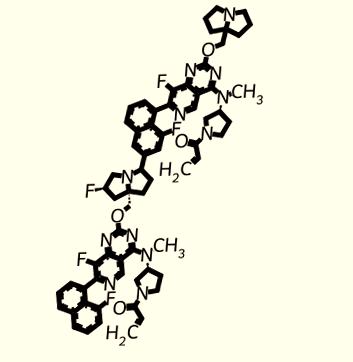 C=CC(=O)N1CC[C@@H](N(C)c2nc(OCC34CCCN3CCC4)nc3c(F)c(-c4cccc5cc(C6CC[C@@]7(COc8nc(N(C)[C@@H]9CCN(C(=O)C=C)C9)c9cnc(-c%10cccc%11cccc(F)c%10%11)c(F)c9n8)C[C@@H](F)CN67)cc(F)c45)ncc23)C1